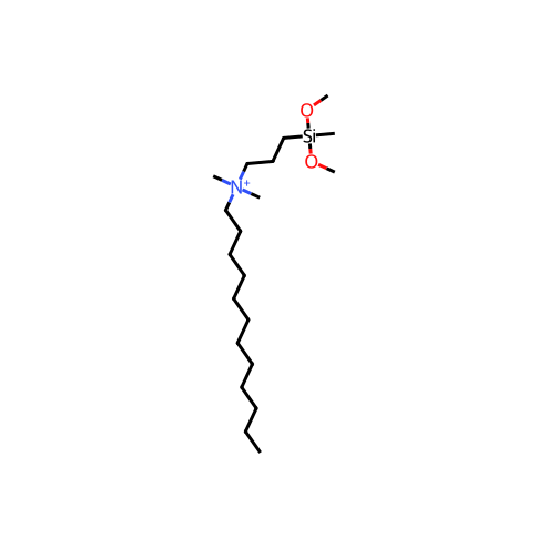 CCCCCCCCCCCC[N+](C)(C)CCC[Si](C)(OC)OC